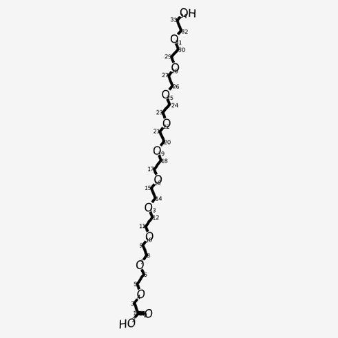 O=C(O)COCCOCCOCCOCCOCCOCCOCCOCCOCCOCCO